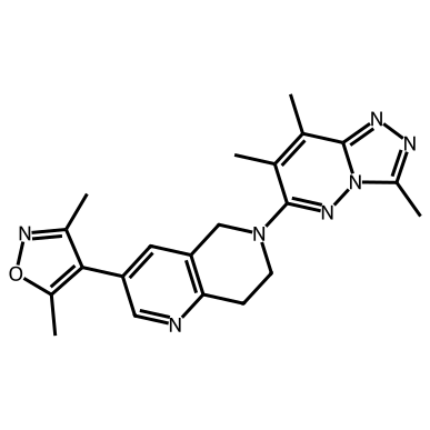 Cc1noc(C)c1-c1cnc2c(c1)CN(c1nn3c(C)nnc3c(C)c1C)CC2